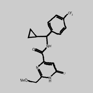 COCc1nc(C(=O)NC(c2ccc(C(F)(F)F)cc2)C2CC2)cc(=O)[nH]1